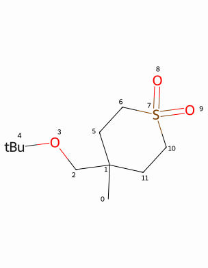 CC1(COC(C)(C)C)CCS(=O)(=O)CC1